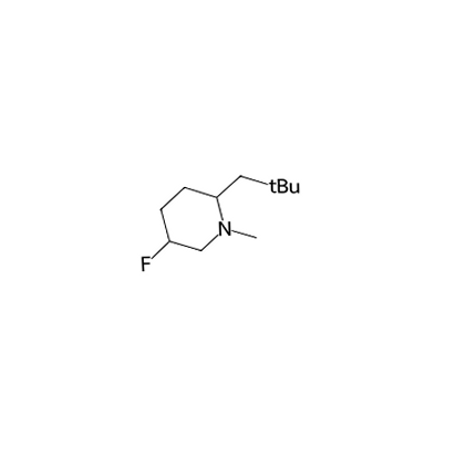 CN1CC(F)CCC1CC(C)(C)C